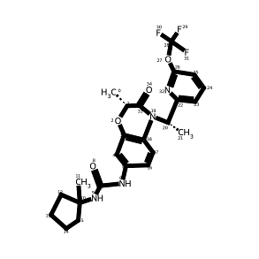 C[C@H]1Oc2cc(NC(=O)NC3(C)CCCC3)ccc2N([C@@H](C)c2cccc(OC(F)(F)F)n2)C1=O